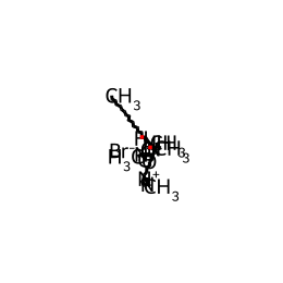 CCCCCCCCCCCCCCCCCCNC(=O)N(CC(COCCCC[n+]1ccn(C)c1)OC(=O)NC)C(C)C.[Br-]